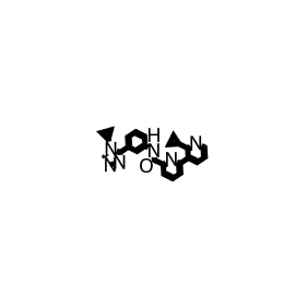 O=C(Nc1cccc(-c2nncn2C2CC2)c1)c1cccc(-c2cccnc2C2CC2)n1